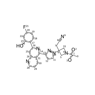 CS(=O)(=O)N1CC(CC#N)(n2ccc(-c3nc(-c4ccc(F)cc4O)cc4ncccc34)n2)C1